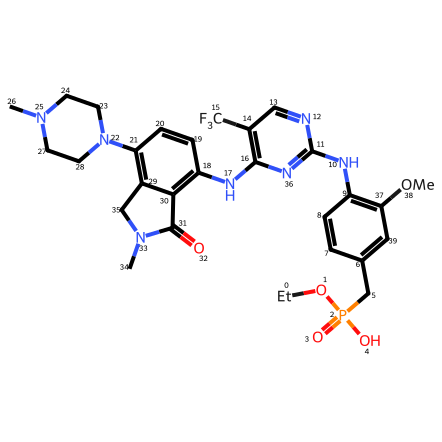 CCOP(=O)(O)Cc1ccc(Nc2ncc(C(F)(F)F)c(Nc3ccc(N4CCN(C)CC4)c4c3C(=O)N(C)C4)n2)c(OC)c1